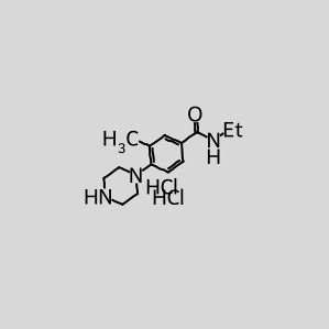 CCNC(=O)c1ccc(N2CCNCC2)c(C)c1.Cl.Cl